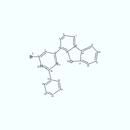 Brc1cc(-c2cccc3c2oc2ccccc23)nc(-c2ccccc2)n1